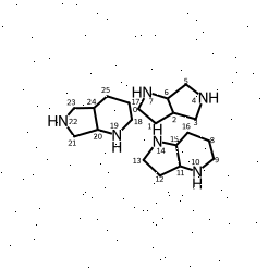 C1CC2CNCC2N1.C1CNC2CCNC2C1.C1CNC2CNCC2C1